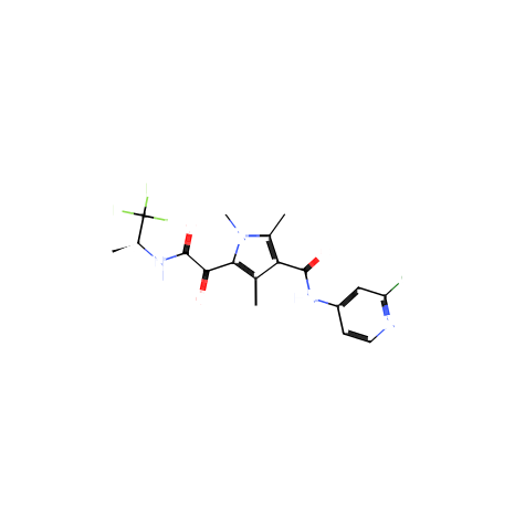 Cc1c(C(=O)Nc2ccnc(Cl)c2)c(C)n(C)c1C(=O)C(=O)N[C@@H](C)C(F)(F)F